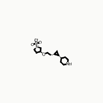 CCS(=O)(=O)N1CC[C@H](OCC[C@@H]2C[C@@H]2C2CCNCC2)C1